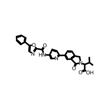 CC(C)C(C(=O)O)N1Cc2ccc(-c3ccc(NC(=O)c4ncc(-c5ccccc5)o4)cn3)cc2C1=O